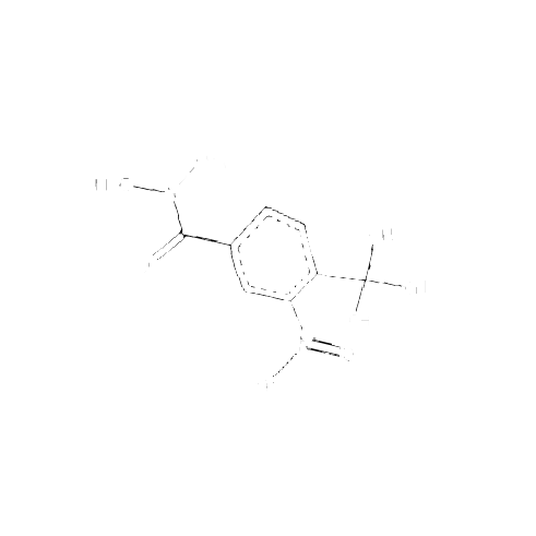 CN(C)C(=O)c1ccc(C(C)(C)C)c([N+](=O)[O-])c1